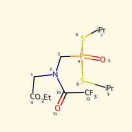 CCOC(=O)CN(CP(=O)(SC(C)C)SC(C)C)C(=O)C(F)(F)F